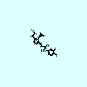 Cc1ccc(NC(=O)CCc2nnc(CCC(C)C)n2C2CC2)cc1C